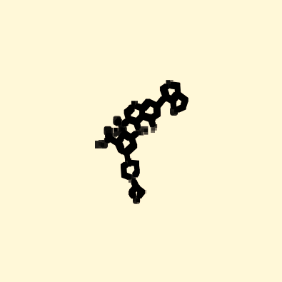 NS(=O)(=O)c1cnc2cc(-c3cncc4c3OCC4)cc(F)c2c1Nc1cc(C(=O)O)cc(N2CCN(C3COC3)CC2)c1